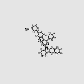 N#Cc1cccc(-c2ccc3c(c2)oc2nc(-n4c5ccccc5c5cc6ccccc6cc54)nc(-c4ccccc4)c23)c1